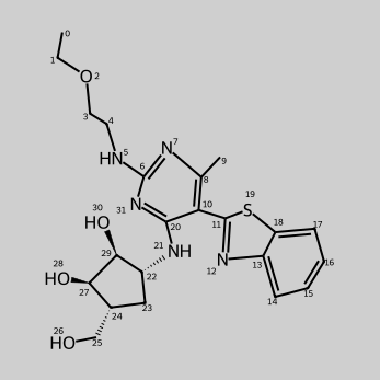 CCOCCNc1nc(C)c(-c2nc3ccccc3s2)c(N[C@@H]2C[C@H](CO)[C@@H](O)[C@H]2O)n1